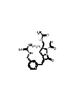 C[C@@]1(COC(N)=O)CC2/C(=C\c3cc(CNC(=N)N)ccn3)C(=O)N2[C@H]1C(=O)O